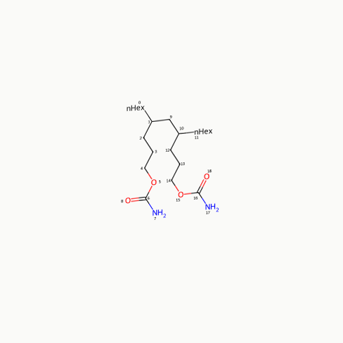 CCCCCCC(CCCOC(N)=O)CC(CCCCCC)CCCOC(N)=O